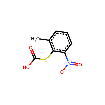 Cc1cccc([N+](=O)[O-])c1SC(=O)O